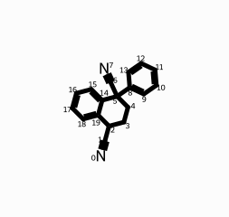 N#CC1CCC(C#N)(c2ccccc2)c2ccccc21